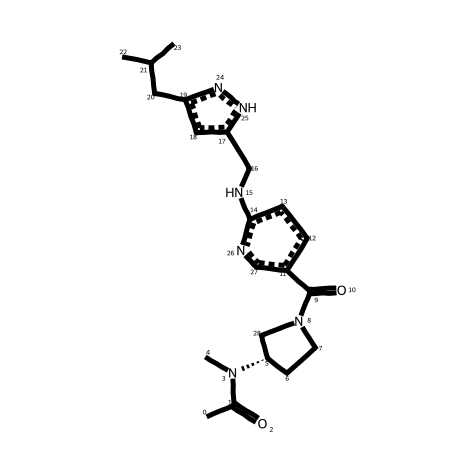 CC(=O)N(C)[C@H]1CCN(C(=O)c2ccc(NCc3cc(CC(C)C)n[nH]3)nc2)C1